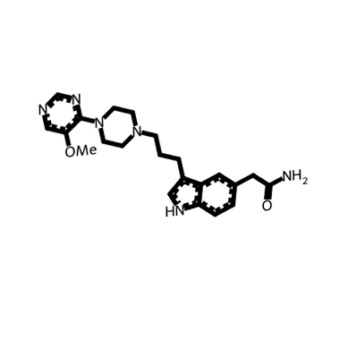 COc1cncnc1N1CCN(CCCc2c[nH]c3ccc(CC(N)=O)cc23)CC1